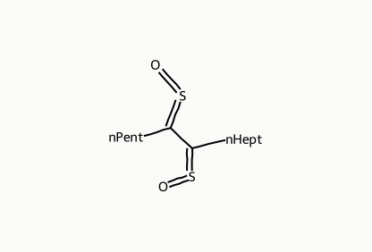 CCCCCCCC(=S=O)C(CCCCC)=S=O